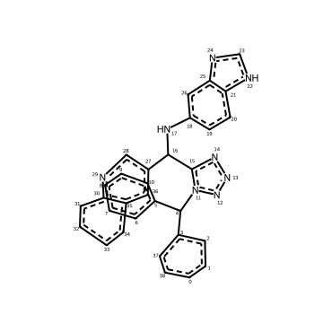 c1ccc(C(c2ccccc2)n2nnnc2C(Nc2ccc3[nH]cnc3c2)c2cnc3ccccc3c2)cc1